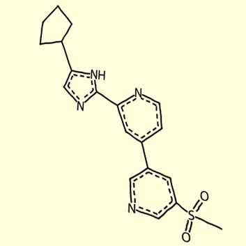 CS(=O)(=O)c1cncc(-c2ccnc(-c3ncc(C4CCCC4)[nH]3)c2)c1